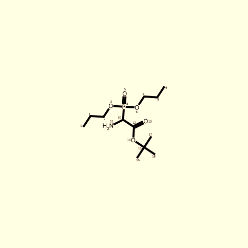 CCCOP(=O)(OCCC)C(N)C(=O)OC(C)(C)C